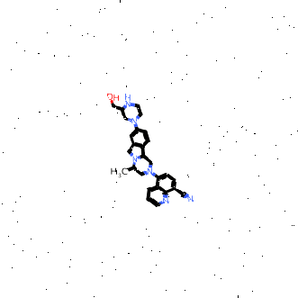 CC1CN(c2ccc(C#N)c3ncccc23)CC2c3ccc(N4CCNC(CO)C4)cc3CN12